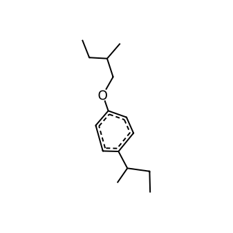 CCC(C)COc1ccc(C(C)CC)cc1